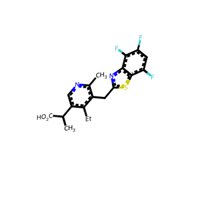 CCc1c(C(C)C(=O)O)cnc(C)c1Cc1nc2c(F)c(F)cc(F)c2s1